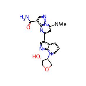 CNc1cc(-c2cnc3n([C@H]4COC[C@@H]4O)cccc2-3)nc2c(C(N)=O)cnn12